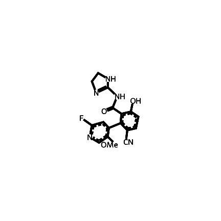 COc1cnc(F)cc1-c1c(C#N)ccc(O)c1C(=O)NC1=NCCN1